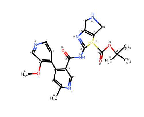 COc1cnccc1-c1cc(C)ncc1C(=O)NC1=NC2=C(CNC2)[SH]1C(=O)OC(C)(C)C